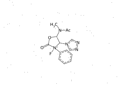 CC(=O)N(C)C1OC(=O)[N+](F)(c2ccccc2)C1n1cnnc1